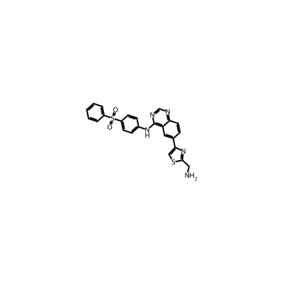 NCc1nc(-c2ccc3ncnc(Nc4ccc(S(=O)(=O)c5ccccc5)cc4)c3c2)cs1